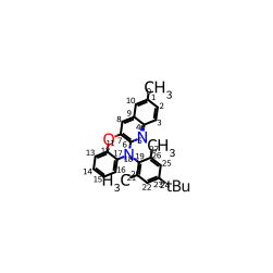 Cc1ccc2nc3c(cc2c1)Oc1ccccc1N3c1c(C)cc(C(C)(C)C)cc1C